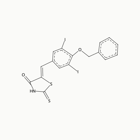 O=C1NC(=S)S/C1=C\c1cc(I)c(OCc2ccccc2)c(I)c1